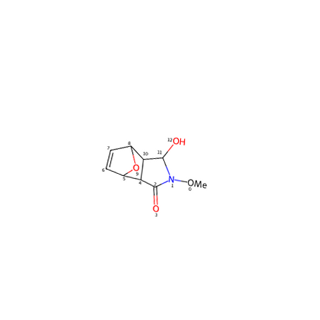 CON1C(=O)C2C3C=CC(O3)C2C1O